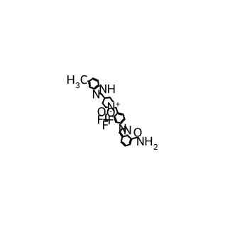 Cc1ccc2[nH]c(C3CC[N+](Cc4ccc(-n5cc6cccc(C(N)=O)c6n5)cc4)(OC(=O)C(F)(F)F)CC3)nc2c1